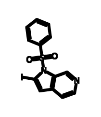 O=S(=O)(c1ccccc1)n1c(I)cc2ccncc21